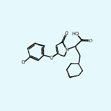 O=C(O)C(CC1CCCCC1)N1CC(Oc2cccc(Cl)c2)=CC1=O